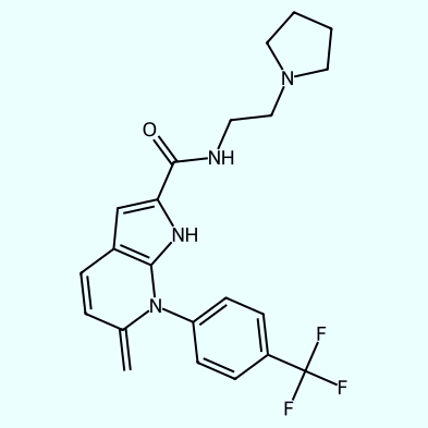 C=C1C=Cc2cc(C(=O)NCCN3CCCC3)[nH]c2N1c1ccc(C(F)(F)F)cc1